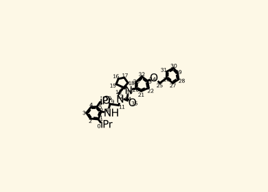 CC(C)c1cccc(C(C)C)c1NC(=O)CN1CC2(CCCC2)N(c2ccc(OCc3ccccc3)cc2)C1=O